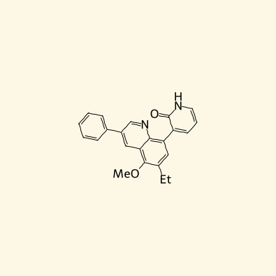 CCc1cc(-c2ccc[nH]c2=O)c2ncc(-c3ccccc3)cc2c1OC